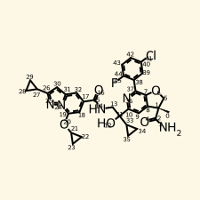 C[C@]1(C(N)=O)COc2c1cc(C(O)(CNC(=O)c1cc(OC3CC3)n3nc(C4CC4)cc3c1)C1CC1)nc2-c1cc(Cl)ccc1F